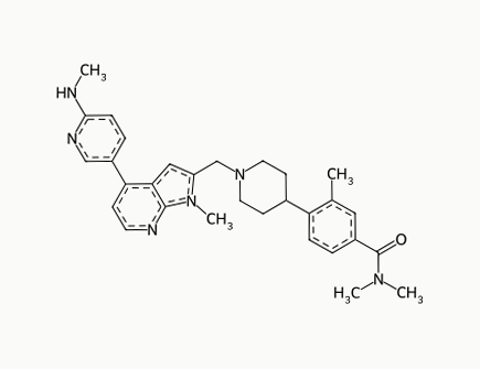 CNc1ccc(-c2ccnc3c2cc(CN2CCC(c4ccc(C(=O)N(C)C)cc4C)CC2)n3C)cn1